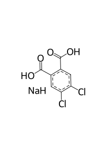 O=C(O)c1cc(Cl)c(Cl)cc1C(=O)O.[NaH]